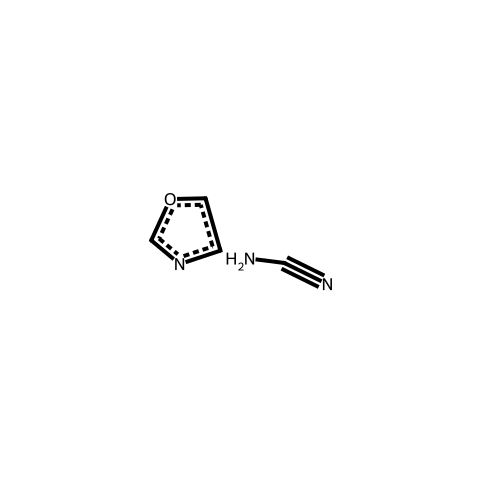 N#CN.c1cocn1